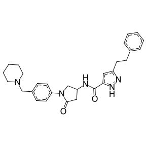 O=C(NC1CC(=O)N(c2ccc(CN3CCCCC3)cc2)C1)c1cc(CCc2ccccc2)n[nH]1